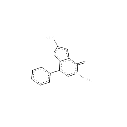 Cn1cc(-c2ccccc2)c2sc(C=O)cc2c1=O